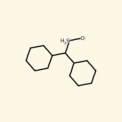 [O][SiH2]C(C1CCCCC1)C1CCCCC1